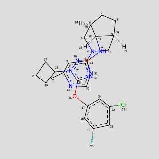 Cc1cc(N2C[C@H]3CC[C@@H](C2)[C@H]3Nc2nc(Oc3cc(F)cc(Cl)c3)n(C3CCC3)n2)ncn1